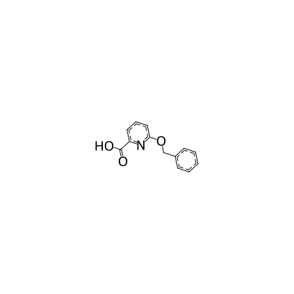 O=C(O)c1cccc(OCc2ccccc2)n1